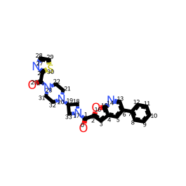 O=C(c1cc2cc(-c3ccccc3)cnc2o1)N1CC(N2CCN(C(=O)c3nccs3)CC2)C1